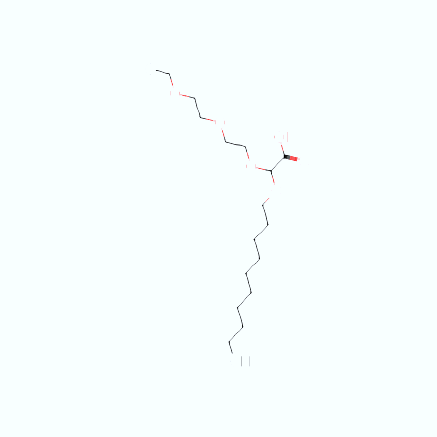 CCCCCCCCCCOC(OCCOCCOCC)C(=O)O